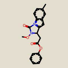 CON1C(=O)n2c(cc3cc(C)ccc32)C1CC(=O)Oc1ccccc1